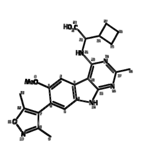 COc1cc2c(cc1-c1c(C)noc1C)[nH]c1nc(C)nc(NC(C(=O)O)C3CCC3)c12